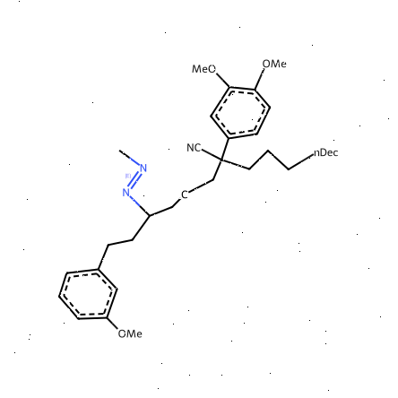 CCCCCCCCCCCCCC(C#N)(CCCC(CCc1cccc(OC)c1)/N=N/C)c1ccc(OC)c(OC)c1